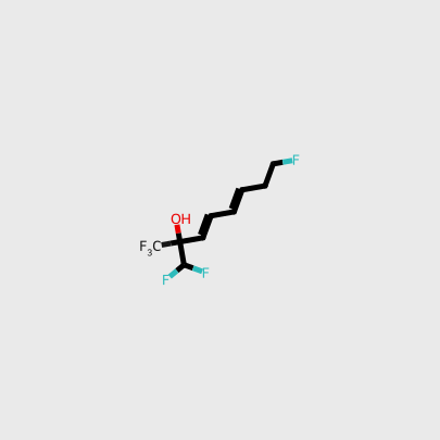 OC(C=CC=CCCF)(C(F)F)C(F)(F)F